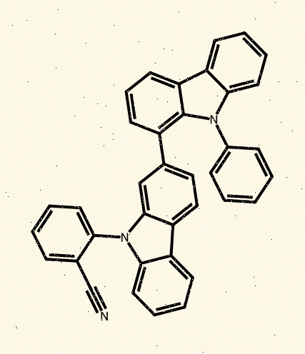 N#Cc1ccccc1-n1c2ccccc2c2ccc(-c3cccc4c5ccccc5n(-c5ccccc5)c34)cc21